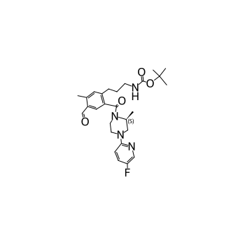 Cc1cc(CCCNC(=O)OC(C)(C)C)c(C(=O)N2CCN(c3ccc(F)cn3)C[C@@H]2C)cc1C=O